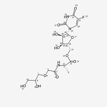 C[C@H](NC(=O)COCC(O)CO)C(=O)OC[C@H]1O[C@@H](n2cc(F)c(=O)[nH]c2=O)[C@H](O)[C@@H]1O